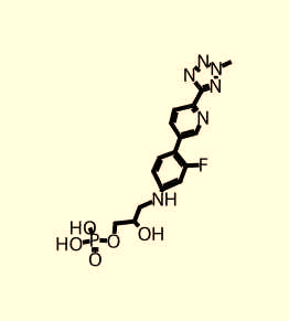 Cn1nnc(-c2ccc(-c3ccc(NCC(O)COP(=O)(O)O)cc3F)cn2)n1